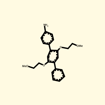 COCCOc1cc(-c2ccc(N)cc2)c(OCCOC)cc1-c1ccccc1